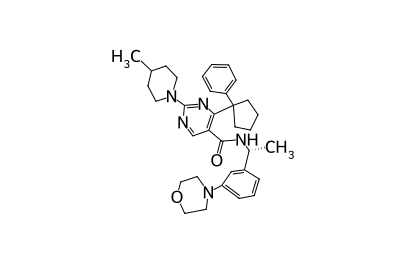 CC1CCN(c2ncc(C(=O)N[C@H](C)c3cccc(N4CCOCC4)c3)c(C3(c4ccccc4)CCCC3)n2)CC1